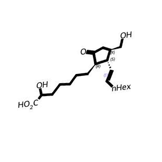 CCCCCC/C=C/[C@H]1[C@H](CO)CC(=O)[C@@H]1CCCCCC(O)C(=O)O